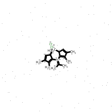 CC1=CC(C)[C]([Ti+2]([C]2=C(C)C(C)=CC2C)=[C](C)C)=C1C.[Cl-].[Cl-]